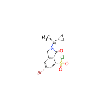 C[C@@H](C1CC1)N1Cc2cc(Br)cc(S(=O)(=O)Cl)c2C1=O